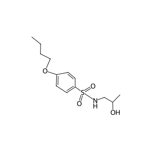 CCCCOc1ccc(S(=O)(=O)NCC(C)O)cc1